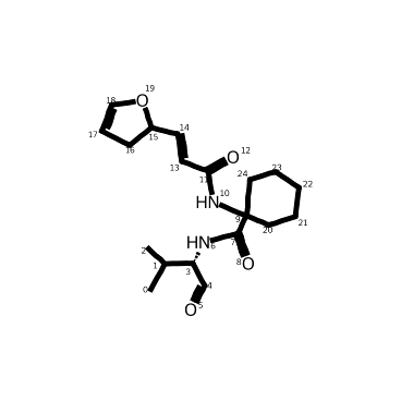 CC(C)[C@@H](C=O)NC(=O)C1(NC(=O)/C=C/C2CC=CO2)CCCCC1